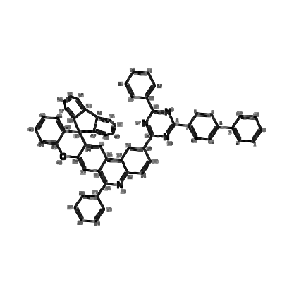 c1ccc(-c2ccc(-c3nc(-c4ccccc4)nc(-c4ccc5nc(-c6ccccc6)c6cc7c(cc6c5c4)C4(c5ccccc5O7)c5ccccc5-c5ccccc54)n3)cc2)cc1